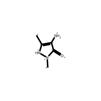 Cc1[nH]n(C)c(=O)c1N